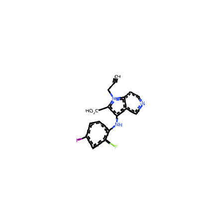 C#CCn1c(C(=O)O)c(Nc2ccc(I)cc2F)c2cnccc21